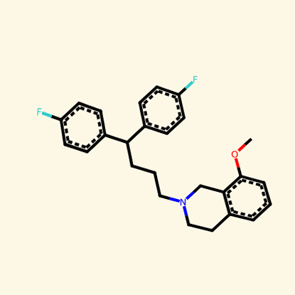 COc1cccc2c1CN(CCCC(c1ccc(F)cc1)c1ccc(F)cc1)CC2